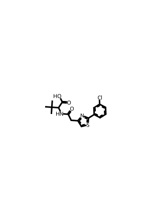 CC(C)(C)C(NC(=O)Cc1csc(-c2cccc(Cl)c2)n1)C(=O)O